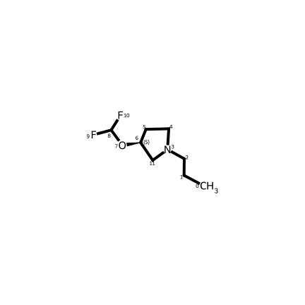 CCCN1CC[C@H](OC(F)F)C1